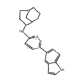 C=C(/C=C\C(=N/N)c1ccc2[nH]ccc2c1)NC1CCN2CCCC1C2